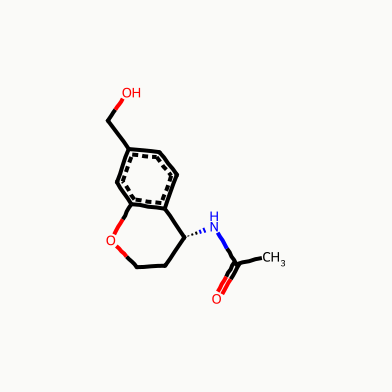 CC(=O)N[C@@H]1CCOc2cc(CO)ccc21